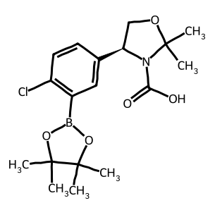 CC1(C)OC[C@H](c2ccc(Cl)c(B3OC(C)(C)C(C)(C)O3)c2)N1C(=O)O